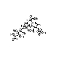 CC(C)CC(N)C(=O)O.NC(Cc1c[nH]cn1)C(=O)O.O=CC(O)C(O)C(O)C(O)CO.O=S(=O)(O)O